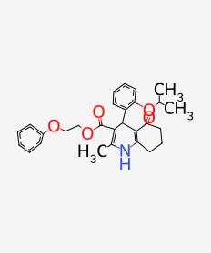 CC1=C(C(=O)OCCOc2ccccc2)C(c2ccccc2OC(C)C)C2=C(CCCC2=O)N1